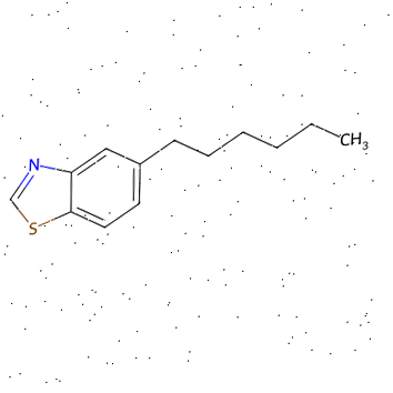 CCCCCCc1ccc2scnc2c1